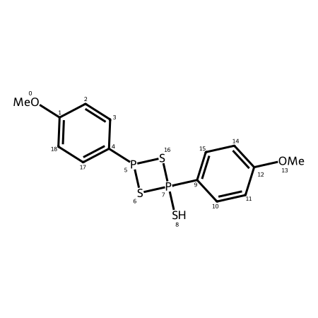 COc1ccc(P2S[P](S)(c3ccc(OC)cc3)S2)cc1